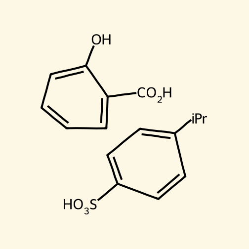 CC(C)c1ccc(S(=O)(=O)O)cc1.O=C(O)c1ccccc1O